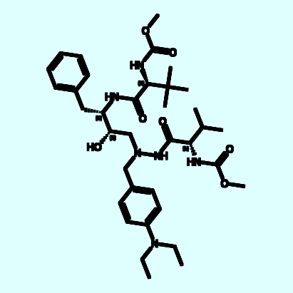 CCN(CC)c1ccc(CN(C[C@H](O)[C@H](Cc2ccccc2)NC(=O)[C@@H](NC(=O)OC)C(C)(C)C)NC(=O)[C@@H](NC(=O)OC)C(C)C)cc1